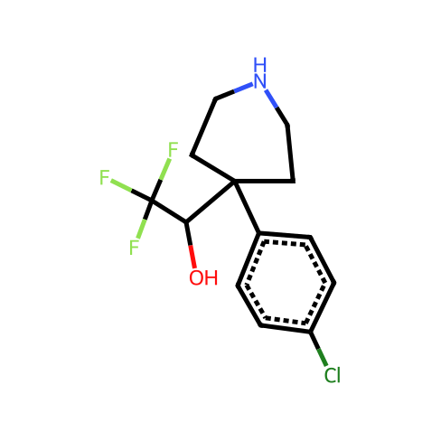 OC(C(F)(F)F)C1(c2ccc(Cl)cc2)CCNCC1